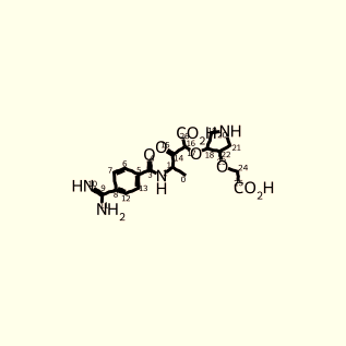 CC(NC(=O)c1ccc(C(=N)N)cc1)C(=O)C(OC1CNCC1OCC(=O)O)C(=O)O